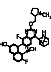 C#Cc1c(F)ccc2cc(O)cc(-c3ncc4c(N5CC6CCC5CN6)nc(OC[C@H]5CCCN5C)nc4c3F)c12